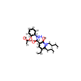 CCCCn1c(CCC)c(CC)cc(C(=O)Nc2ccccc2OC(C)=O)c1=O